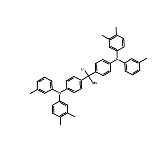 CCCCC(CC)(c1ccc(N(c2cccc(C)c2)c2ccc(C)c(C)c2)cc1)c1ccc(N(c2cccc(C)c2)c2ccc(C)c(C)c2)cc1